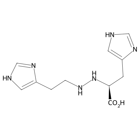 O=C(O)[C@H](Cc1c[nH]cn1)NNCCc1c[nH]cn1